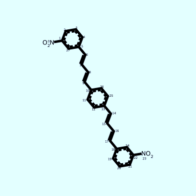 O=[N+]([O-])c1cccc(C=CC=Cc2ccc(C=CC=Cc3cccc([N+](=O)[O-])c3)cc2)c1